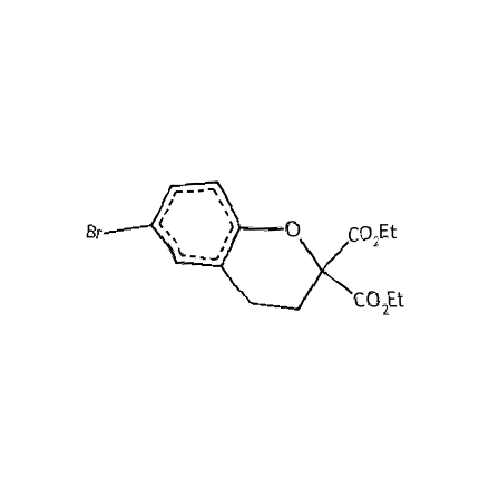 CCOC(=O)C1(C(=O)OCC)CCc2cc(Br)ccc2O1